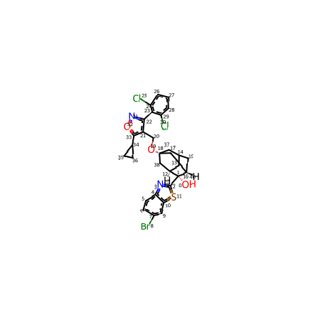 O[C@]1(c2nc3ccc(Br)cc3s2)[C@@H]2CC3C[C@H]1C[C@](OCc1c(-c4c(Cl)cccc4Cl)noc1C1CC1)(C3)C2